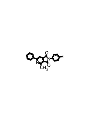 Cc1nc(-c2ccccc2)cc2c1C(=O)N(c1ccc(I)cc1)C2=O